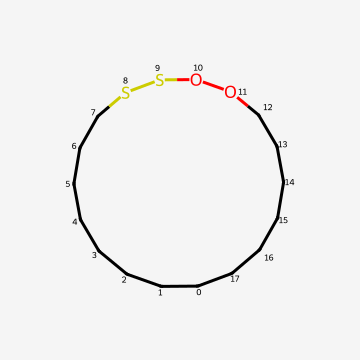 C1CCCCCCCSSOOCCCCCC1